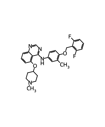 Cc1cc(Nc2ncnc3cccc(OC4CCN(C)CC4)c23)ccc1OCc1c(F)cccc1F